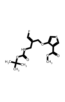 COC(=O)c1cscc1OC/C(=C\F)CNC(=O)OC(C)(C)C